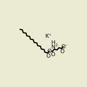 CCCCCCCCCCCCCCCC(=O)OC(=O)C(N)CCC(=O)[O-].[K+]